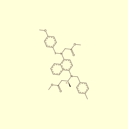 COC(=O)C[C@H](C)N(Cc1ccc(C)cc1)c1ccc(N(CC(=O)OC)Sc2ccc(OC)cc2)c2ccccc12